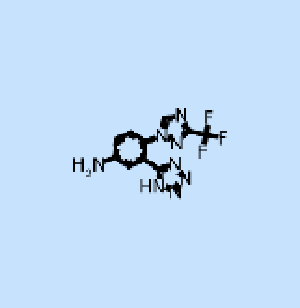 Nc1ccc(-n2cnc(C(F)(F)F)n2)c(-c2nnn[nH]2)c1